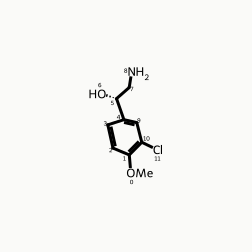 COc1ccc([C@H](O)CN)cc1Cl